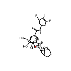 O=C(Nc1cc(F)c(F)c(F)c1)c1ccc(Cl)c(S(=O)(=O)C2CC3CCC(C2)C3(O)COC[C@H](O)C(O)CO)c1